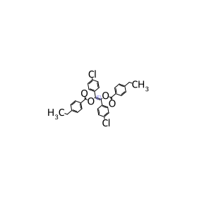 CCc1ccc(C(=O)O/C(=C(/OC(=O)c2ccc(CC)cc2)c2ccc(Cl)cc2)c2ccc(Cl)cc2)cc1